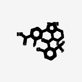 O=C(O)c1ccc(-c2n[nH]c3c2C(C(=O)c2c(Cl)cccc2C(F)(F)F)CCC3)cc1F